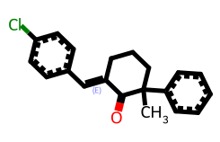 CC1(c2ccccc2)CCC/C(=C\c2ccc(Cl)cc2)C1=O